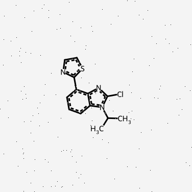 CC(C)n1c(Cl)nc2c(-c3nccs3)cccc21